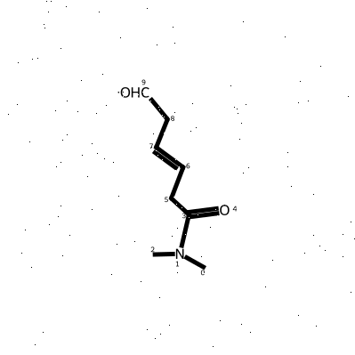 CN(C)C(=O)CC=CC[C]=O